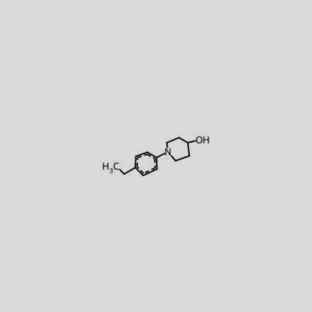 CCc1ccc(N2CCC(O)CC2)cc1